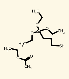 CCOC(C)=O.CCO[Si](CCCS)(OCC)OCC